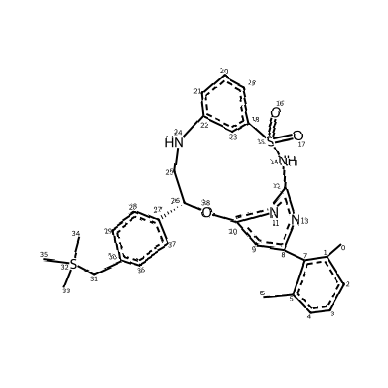 Cc1cccc(C)c1-c1cc2nc(n1)NS(=O)(=O)c1cccc(c1)NC[C@@H](c1ccc(CS(C)(C)C)cc1)O2